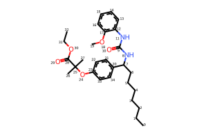 CCCCCCCC(NC(=O)Nc1ccccc1OC)c1ccc(OC(C)(C)C(=O)OCC)cc1